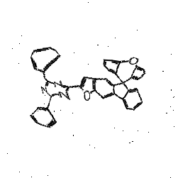 c1ccc(-c2nc(-c3ccccc3)nc(-c3cc4cc5c(cc4o3)-c3ccccc3C53c4ccccc4Oc4ccccc43)n2)cc1